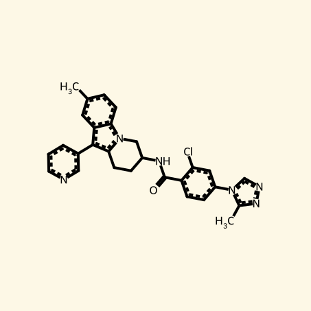 Cc1ccc2c(c1)c(-c1cccnc1)c1n2CC(NC(=O)c2ccc(-n3cnnc3C)cc2Cl)CC1